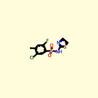 Cc1cc(F)c(S(=O)(=O)Nc2nccs2)cc1Cl